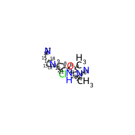 CC[C@@H]1[C@H](NC(=O)c2ccc(N3CC[C@H](CC#N)C3)cc2Cl)C[C@H](C)N1C#N